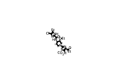 CCO[C@H]1CN(c2nc(C(=O)CC)c(C(=O)O)s2)CC[C@H]1NC(=O)c1nc(Cl)c(CC)[nH]1